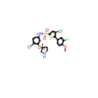 COc1ccc(-c2sc(S(=O)(=O)Nc3ccc(Cl)c(O[C@]4(C)CCNC4)c3)cc2Cl)cc1F